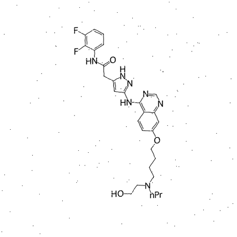 CCCN(CCO)CCCCOc1ccc2c(Nc3cc(CC(=O)Nc4cccc(F)c4F)[nH]n3)ncnc2c1